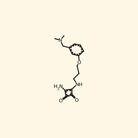 CN(C)Cc1cccc(OCCCNc2c(N)c(=O)c2=O)c1